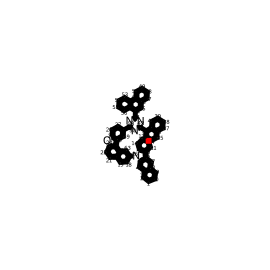 c1ccc2cc3c(cc2c1)c1ccccc1n3-c1ccc2ccc3oc4ccc(-c5nc(-c6cccc7ccccc67)nc(-c6cc7ccccc7c7ccccc67)n5)cc4c3c2c1